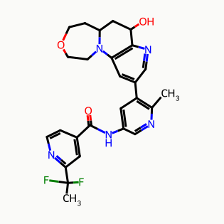 Cc1ncc(NC(=O)c2ccnc(C(C)(F)F)c2)cc1-c1cnc2c(c1)N1CCOCCC1CC2O